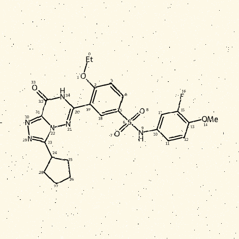 CCOc1ccc(S(=O)(=O)Nc2ccc(OC)c(F)c2)cc1-c1nn2c(C3CCCC3)nnc2c(=O)[nH]1